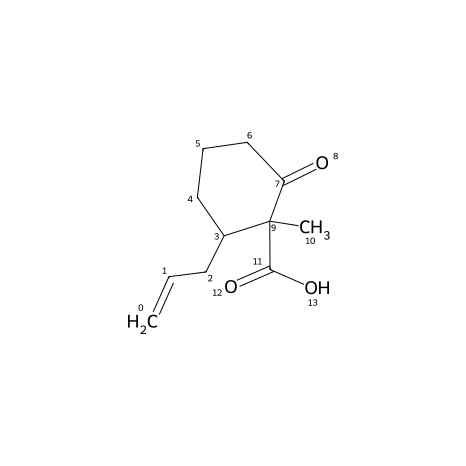 C=CCC1CCCC(=O)C1(C)C(=O)O